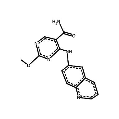 COc1ncc(C(N)=O)c(Nc2ccc3ncccc3c2)n1